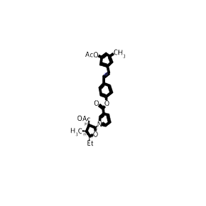 CC[C@H]1O[C@@H]([n+]2cccc(C(=O)Oc3ccc(/C=C/c4cc(C)cc(OC(C)=O)c4)cc3)c2)[C@H](OC(C)=O)[C@@H]1C